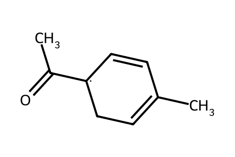 CC(=O)[C]1C=CC(C)=CC1